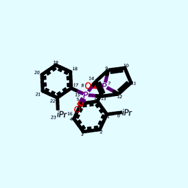 CC(C)c1ccccc1P1(=O)C2=CC=C1C1=C2P1(=O)c1ccccc1C(C)C